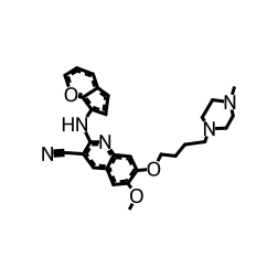 COc1cc2cc(C#N)c(Nc3ccc4cccoc3-4)nc2cc1OCCCCN1CCN(C)CC1